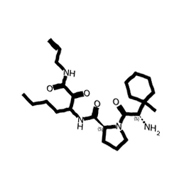 C=CCNC(=O)C(=O)C(CCCC)NC(=O)[C@@H]1CCCN1C(=O)[C@@H](N)C1(C)CCCCC1